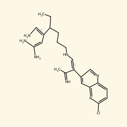 CCC(CCCN/C=C(\C(C)=N)c1cnc2ccc(Cl)nc2c1)/C(C=C(N)N)=C/N